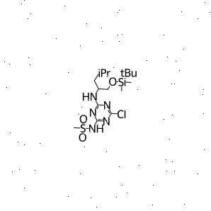 CC(C)CC(CO[Si](C)(C)C(C)(C)C)Nc1nc(Cl)nc(NS(C)(=O)=O)n1